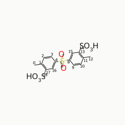 Cc1ccc(S(=O)(=O)c2ccc(C)c(S(=O)(=O)O)c2)cc1S(=O)(=O)O